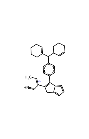 C/C=C(\C=N)C1=C(c2ccc(C(C3=CCCCC3)C3C=CCCC3)cc2)C2=C=CC=C2C1